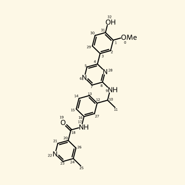 COc1cc(-c2cncc(NC(C)c3cccc(NC(=O)c4cncc(C)c4)c3)n2)ccc1O